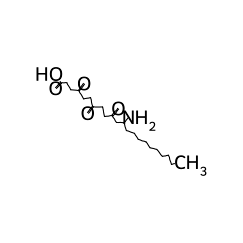 CCCCCCCCCCC(N)CC(=O)CCC(=O)CCC(=O)CCC(=O)O